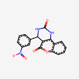 O=C1Nc2c(c(=O)oc3ccccc23)C(c2cccc([N+](=O)[O-])c2)N1